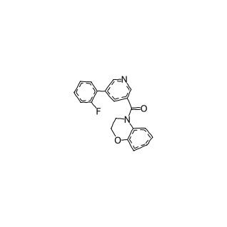 O=C(c1cncc(-c2ccccc2F)c1)N1CCOc2ccccc21